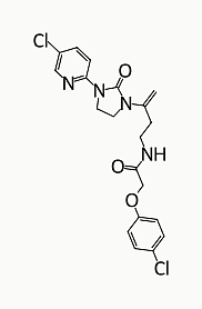 C=C(CCNC(=O)COc1ccc(Cl)cc1)N1CCN(c2ccc(Cl)cn2)C1=O